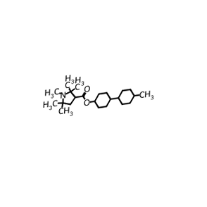 CC1CCC(C2CCC(OC(=O)C3CC(C)(C)N(C)C3(C)C)CC2)CC1